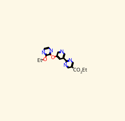 CCOC(=O)c1cnc(-c2cncc(Oc3nccnc3OCC)c2)nc1